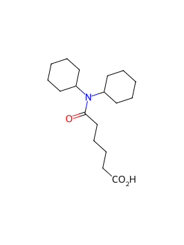 O=C(O)CCCCC(=O)N(C1CCCCC1)C1CCCCC1